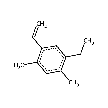 C=Cc1cc(CC)c(C)cc1C